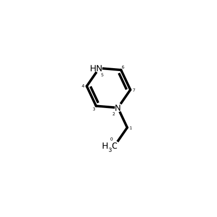 CCN1C=CNC=C1